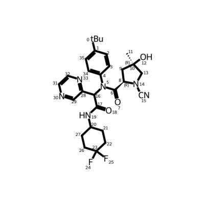 CC(C)(C)c1ccc(N(C(=O)[C@H]2C[C@@](C)(O)CN2C#N)C(C(=O)NC2CCC(F)(F)CC2)c2cnccn2)cc1